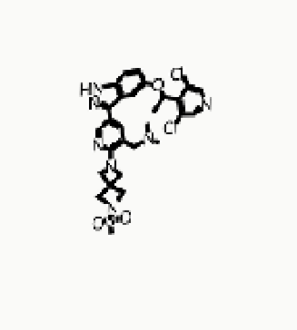 CC(Oc1ccc2[nH]nc(-c3cnc(N4CC5(C4)CN(S(C)(=O)=O)C5)c(CN(C)C)c3)c2c1)c1c(Cl)cncc1Cl